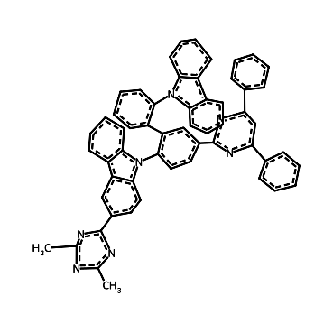 Cc1nc(C)nc(-c2ccc3c(c2)c2ccccc2n3-c2ccc(-c3nc(-c4ccccc4)cc(-c4ccccc4)n3)cc2-c2ccccc2-n2c3ccccc3c3ccccc32)n1